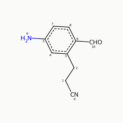 N#CCCc1cc(N)ccc1C=O